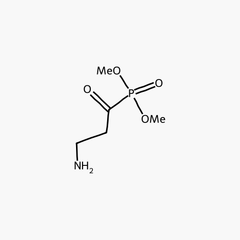 COP(=O)(OC)C(=O)CCN